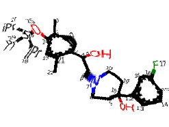 Cc1cc(C(O)CN2CCC(O)(c3cccc(F)c3)CC2)c(C)cc1O[Si](C(C)C)(C(C)C)C(C)C